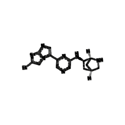 CCc1cn2c(-c3cncc(N[C@@H]4C[C@@H]5CN[C@H]4C5)n3)cnc2s1